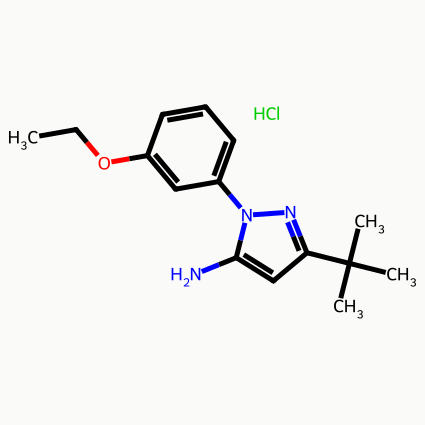 CCOc1cccc(-n2nc(C(C)(C)C)cc2N)c1.Cl